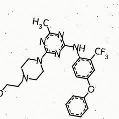 Cc1nc(Nc2ccc(Oc3ccccc3)cc2C(F)(F)F)nc(N2CCN(CCO)CC2)n1